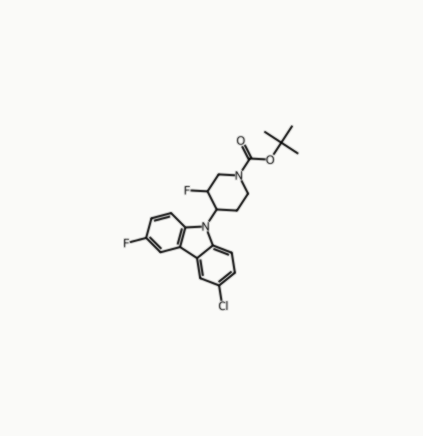 CC(C)(C)OC(=O)N1CCC(n2c3ccc(F)cc3c3cc(Cl)ccc32)C(F)C1